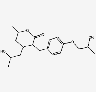 CC(O)COc1ccc(CC2C(=O)OC(C)CN2CC(C)O)cc1